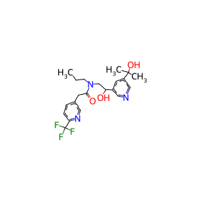 CCCN(CC(O)c1cncc(C(C)(C)O)c1)C(=O)Cc1ccc(C(F)(F)F)nc1